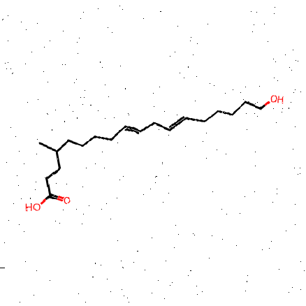 CC(CCCC/C=C/C/C=C/CCCCCO)CCC(=O)O